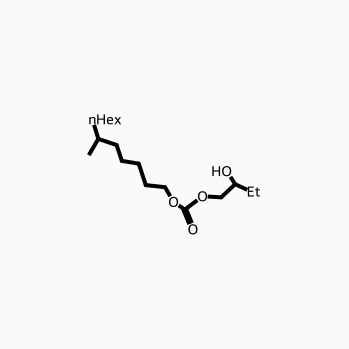 CCCCCCC(C)CCCCCOC(=O)OCC(O)CC